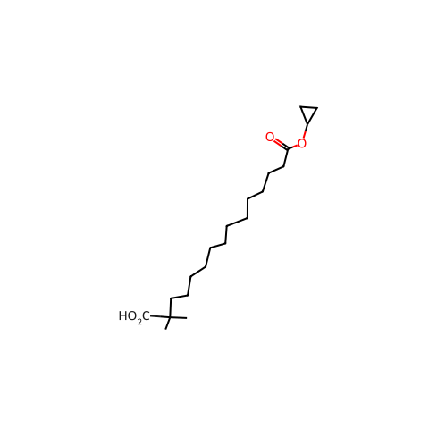 CC(C)(CCCCCCCCCCCCC(=O)OC1CC1)C(=O)O